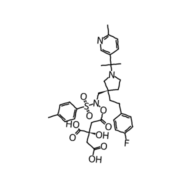 Cc1ccc(S(=O)(=O)N(C[C@]2(CCc3ccc(F)cc3)CCN(C(C)(C)c3ccc(C)nc3)C2)OC(=O)C[C@](O)(CC(=O)O)C(=O)O)cc1